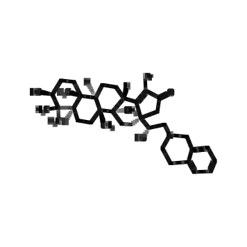 CC(C)C1=C2[C@H]3CC[C@@H]4[C@@]5(C)CC[C@H](O)C(C)(C)[C@@H]5CC[C@@]4(C)[C@]3(C)CC[C@@]2([C@@H](O)CN2CCc3ccccc3C2)CC1=O